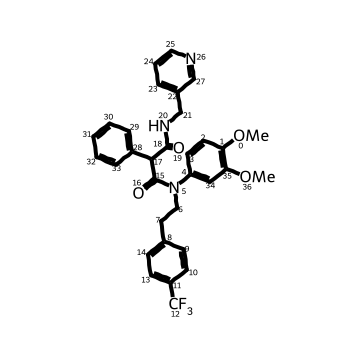 COc1ccc(N(CCc2ccc(C(F)(F)F)cc2)C(=O)C(C(=O)NCc2cccnc2)c2ccccc2)cc1OC